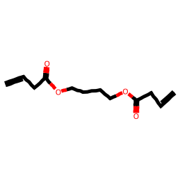 C=CCC(=O)OCCCCOC(=O)CC=C